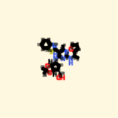 Cc1nc(NC(C)c2ccco2)nc(N[C@@H]2C[C@H](CO)[C@H]3OC(C)(C)O[C@H]32)c1-c1nc2ccccc2s1